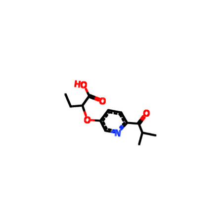 CCC(Oc1ccc(C(=O)C(C)C)nc1)C(=O)O